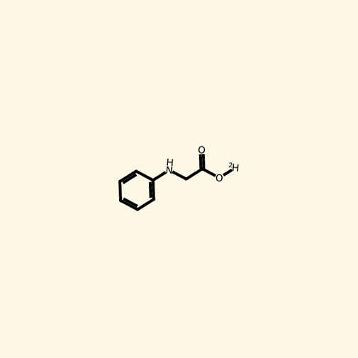 [2H]OC(=O)CNc1ccccc1